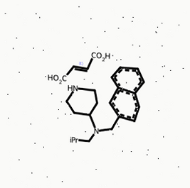 CC(C)CN(Cc1ccc2ccccc2c1)C1CCNCC1.O=C(O)/C=C/C(=O)O